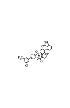 NC(=O)c1cccc(CNCC2COC(=O)N2)c1-c1ccc(S(=O)(=O)N2CCN(c3cc(C(F)(F)F)cc(Cl)n3)CC2)cc1